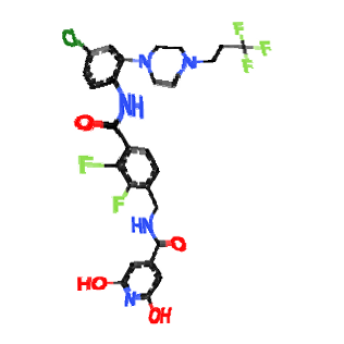 O=C(NCc1ccc(C(=O)Nc2ccc(Cl)cc2N2CCN(CCC(F)(F)F)CC2)c(F)c1F)c1cc(O)nc(O)c1